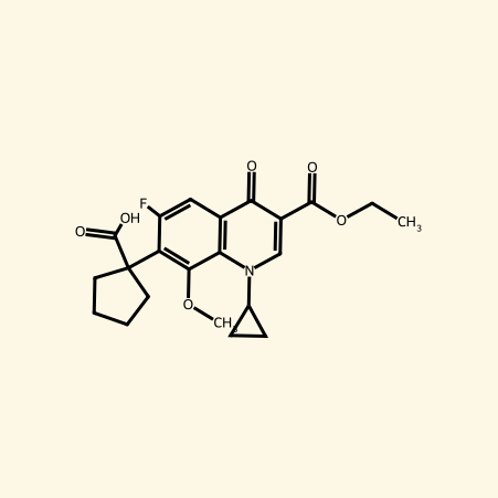 CCOC(=O)c1cn(C2CC2)c2c(OC)c(C3(C(=O)O)CCCC3)c(F)cc2c1=O